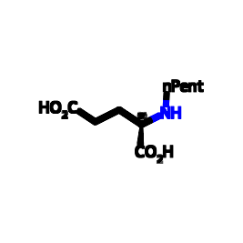 CCCCCN[C@H](CCC(=O)O)C(=O)O